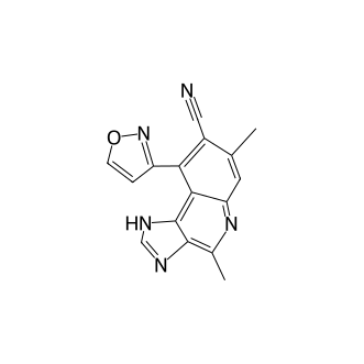 Cc1cc2nc(C)c3nc[nH]c3c2c(-c2ccon2)c1C#N